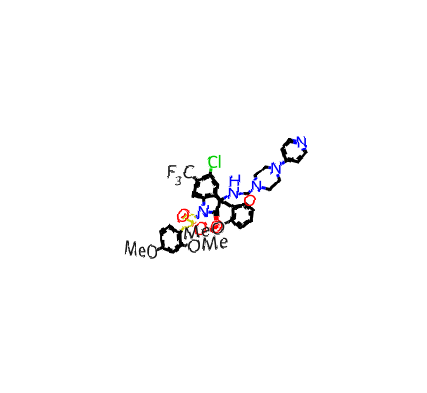 COc1ccc(S(=O)(=O)N2C(=O)C(NC(=O)N3CCN(c4ccncc4)CC3)(c3ccccc3OC)c3cc(Cl)c(C(F)(F)F)cc32)c(OC)c1